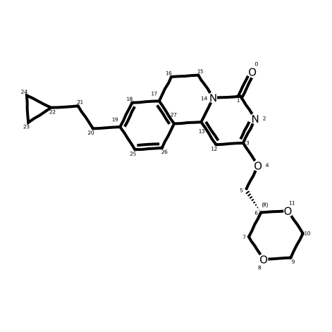 O=c1nc(OC[C@H]2COCCO2)cc2n1CCc1cc(CCC3CC3)ccc1-2